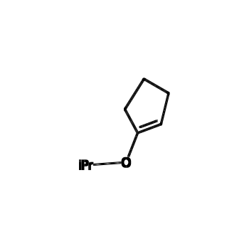 CC(C)OC1=CCCC1